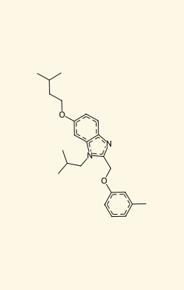 Cc1cccc(OCc2nc3ccc(OCCC(C)C)cc3n2CC(C)C)c1